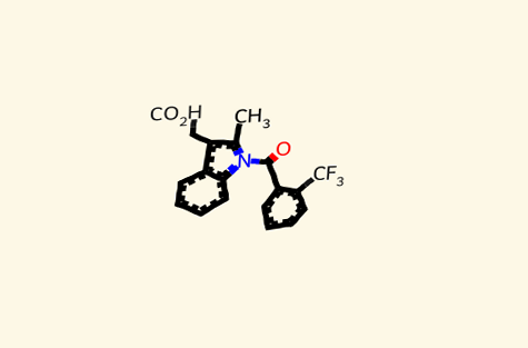 Cc1c(CC(=O)O)c2ccccc2n1C(=O)c1ccccc1C(F)(F)F